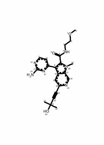 COCCNC(=O)c1c(-c2ccnc(N)n2)c2cc(C#CC(C)(C)O)ncc2n1C